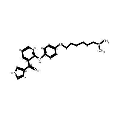 CN(C)CCCCCCOc1ccc(Oc2ncccc2C(=O)c2ccsc2)cc1